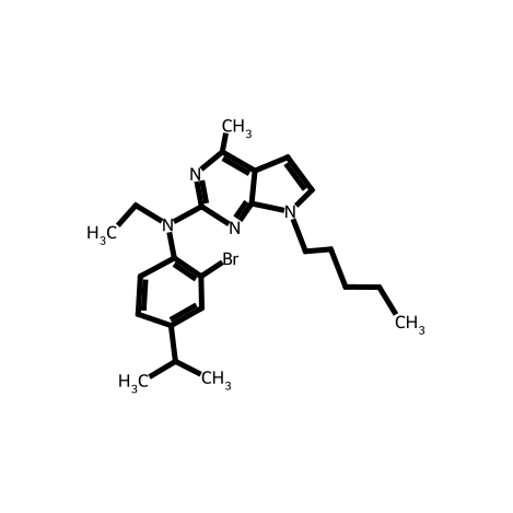 CCCCCn1ccc2c(C)nc(N(CC)c3ccc(C(C)C)cc3Br)nc21